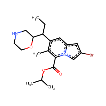 CCC(c1cc2cc(Br)cn2c(C(=O)OC(C)C)c1C)C1CNCCO1